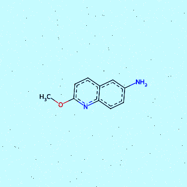 COc1ccc2cc(N)ccc2n1